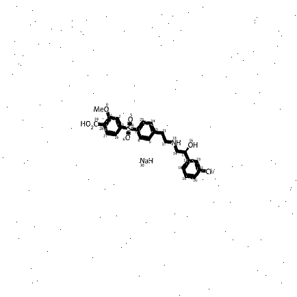 COc1cc(S(=O)(=O)c2ccc(CCNC[C@@H](O)c3cccc(Cl)c3)cc2)ccc1C(=O)O.[NaH]